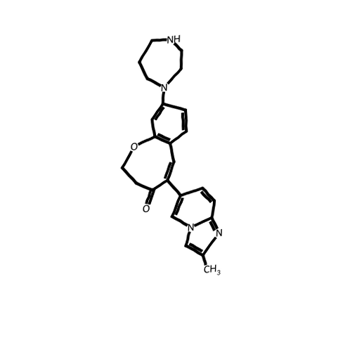 Cc1cn2cc(/C3=C/c4ccc(N5CCCNCC5)cc4OCCC3=O)ccc2n1